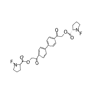 O=C(COC(=O)[C@H]1CCCN1F)c1ccc(-c2ccc(C(=O)COC(=O)[C@@H]3CCCN3F)cc2)cc1